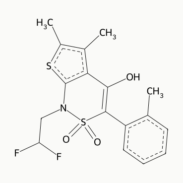 Cc1ccccc1C1=C(O)c2c(sc(C)c2C)N(CC(F)F)S1(=O)=O